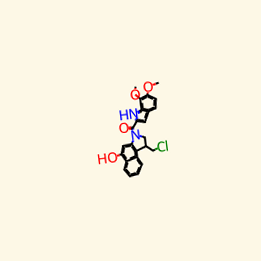 COc1ccc2cc(C(=O)N3CC(CCl)c4c3cc(O)c3ccccc43)[nH]c2c1OC